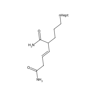 CCCCCCCCCCC(C=CCC(N)=O)C(N)=O